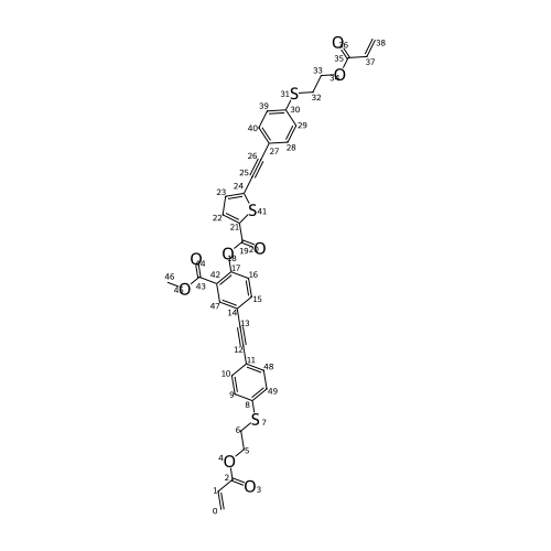 C=CC(=O)OCCSc1ccc(C#Cc2ccc(OC(=O)c3ccc(C#Cc4ccc(SCCOC(=O)C=C)cc4)s3)c(C(=O)OC)c2)cc1